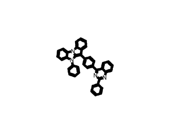 c1ccc(-c2nc(-c3ccc(-c4c5ccccc5n5c6ccccc6n(-c6ccccc6)c45)cc3)c3ccccc3n2)cc1